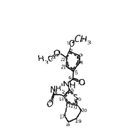 COc1ccc(C(=O)Nc2sc3c(c2C(N)=O)CCCC3)cc1OC